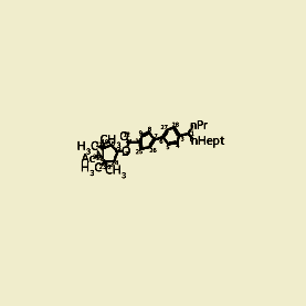 CCCCCCCC(CCC)c1ccc(-c2ccc(C(=O)OC3CC(C)(C)N(C(C)=O)C(C)(C)C3)cc2)cc1